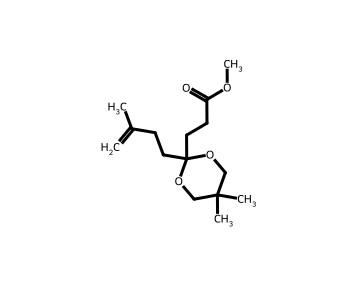 C=C(C)CCC1(CCC(=O)OC)OCC(C)(C)CO1